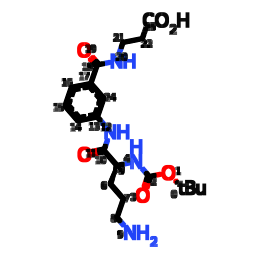 CC(C)(C)OC(=O)N[C@@H](CCCN)C(=O)Nc1cccc(C(=O)NCCC(=O)O)c1